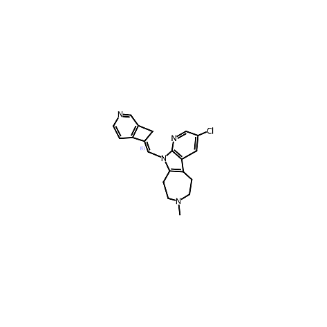 CN1CCc2c(n(/C=C3\Cc4cnccc43)c3ncc(Cl)cc23)CC1